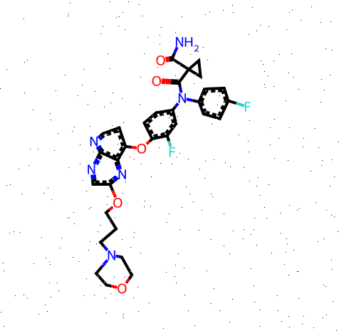 NC(=O)C1(C(=O)N(c2ccc(F)cc2)c2ccc(Oc3ccnc4ncc(OCCCN5CCOCC5)nc34)c(F)c2)CC1